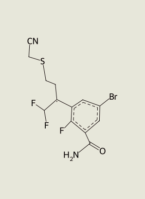 N#CCSCC[C](c1cc(Br)cc(C(N)=O)c1F)C(F)F